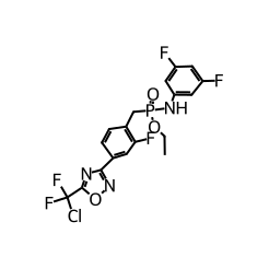 CCOP(=O)(Cc1ccc(-c2noc(C(F)(F)Cl)n2)cc1F)Nc1cc(F)cc(F)c1